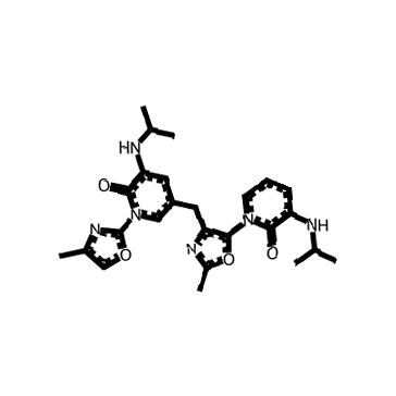 Cc1coc(-n2cc(Cc3nc(C)oc3-n3cccc(NC(C)C)c3=O)cc(NC(C)C)c2=O)n1